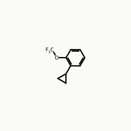 FC(F)(F)Oc1[c]cccc1C1CC1